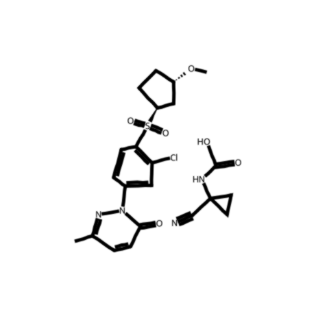 CO[C@H]1CC[C@H](S(=O)(=O)c2ccc(-n3nc(C)ccc3=O)cc2Cl)C1.N#CC1(NC(=O)O)CC1